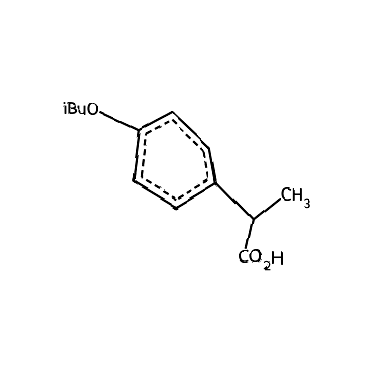 CC(C)COc1ccc(C(C)C(=O)O)cc1